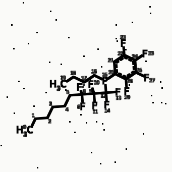 CCCCCCC(F)(F)C(F)(F)C(F)(F)P(CCCC)c1cc(F)c(F)c(F)c1F